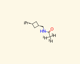 [2H]C([2H])([2H])C(=O)NC[C@H]1C[C@@H](C(C)C)C1